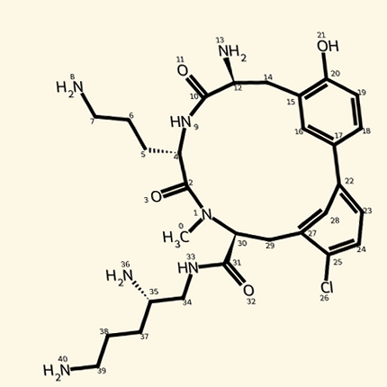 CN1C(=O)[C@H](CCCN)NC(=O)[C@@H](N)Cc2cc(ccc2O)-c2ccc(Cl)c(c2)C[C@H]1C(=O)NC[C@@H](N)CCCN